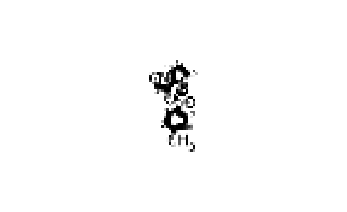 Cc1ccc(S(=O)(=O)OC(=CC#N)c2cccs2)cc1